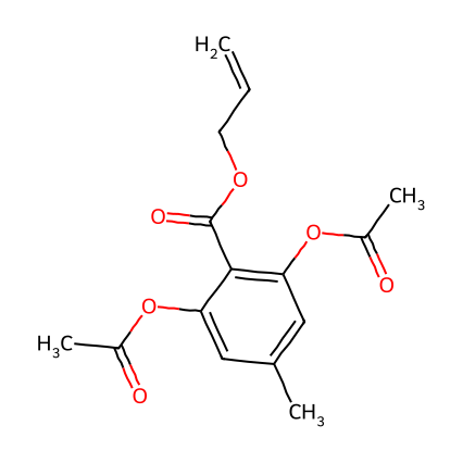 C=CCOC(=O)c1c(OC(C)=O)cc(C)cc1OC(C)=O